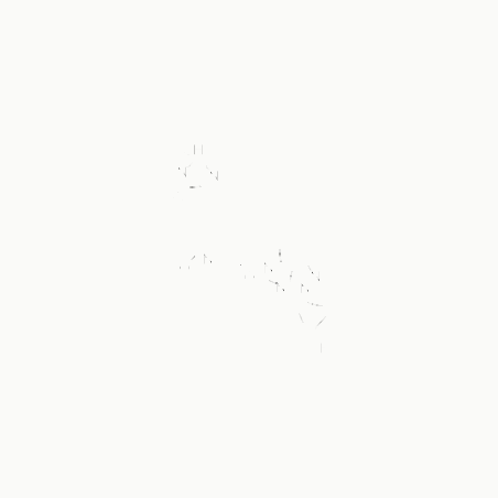 Cc1cncc(OC2CCC(C(=O)N3CCC(O)(Cn4cnc5c(cnn5-c5ccc(F)cc5)c4=O)CC3)CC2)n1